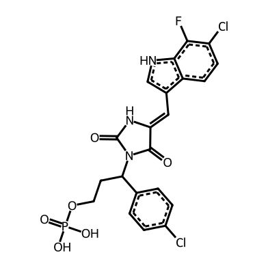 O=C1N/C(=C\c2c[nH]c3c(F)c(Cl)ccc23)C(=O)N1C(CCOP(=O)(O)O)c1ccc(Cl)cc1